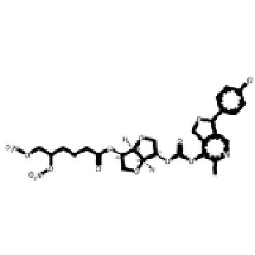 Cc1ncc2c(c1OC(=O)O[C@@H]1CO[C@H]3[C@@H]1OC[C@H]3OC(=O)CCCC(CO[N+](=O)[O-])O[N+](=O)[O-])COC2c1ccc(Cl)cc1